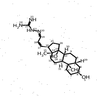 C[C@]12CC[C@H](O)C[C@H]1CC[C@@H]1[C@@H]2CC[C@]2(C)[C@@H](/C=C\C=N/NC(=N)N)CC[C@]12O